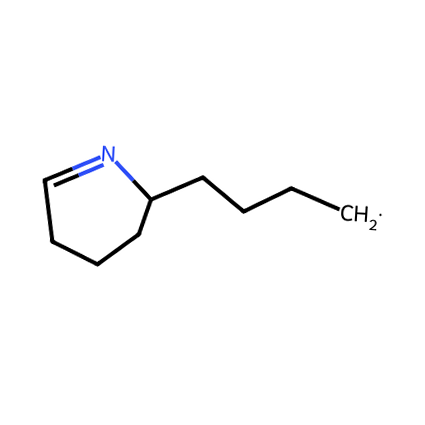 [CH2]CCCC1CCCC=N1